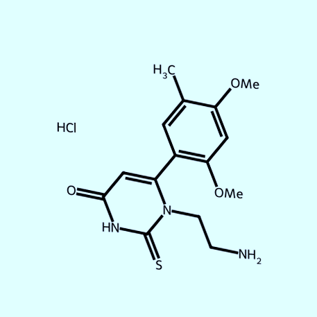 COc1cc(OC)c(-c2cc(=O)[nH]c(=S)n2CCN)cc1C.Cl